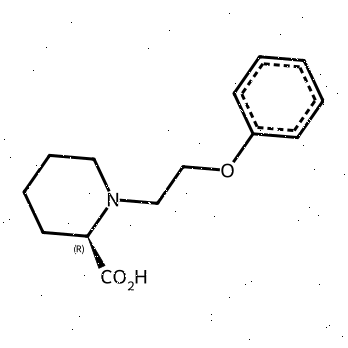 O=C(O)[C@H]1CCCCN1CCOc1ccccc1